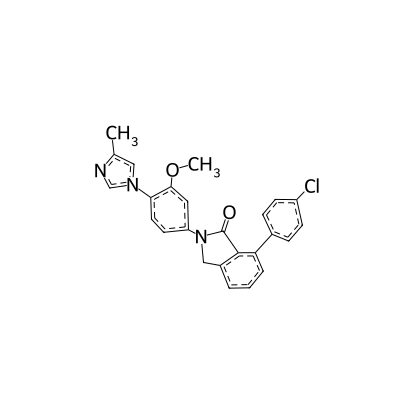 COc1cc(N2Cc3cccc(-c4ccc(Cl)cc4)c3C2=O)ccc1-n1cnc(C)c1